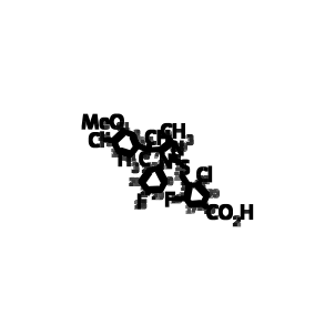 COc1cc(C(C)(C)c2c(C)nc(SCc3c(F)cc(C(=O)O)cc3Cl)n2-c2ccc(F)cc2)ccc1Cl